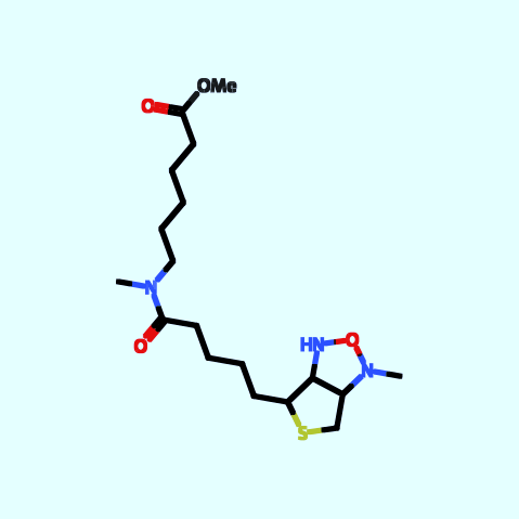 COC(=O)CCCCCN(C)C(=O)CCCCC1SCC2C1NON2C